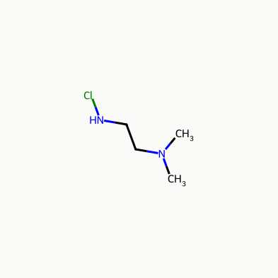 CN(C)CCNCl